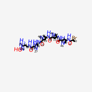 C=C(Br)C(=O)Nc1cc(C(=O)Nc2cc(C(=O)Nc3cc(C(=O)Nc4cn(C)c(C(=O)NCCC(N)=NO)n4)n(C)c3)n(C)c2)n(C)c1